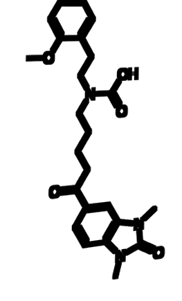 COc1ccccc1CCN(CCCCC(=O)c1ccc2c(c1)n(C)c(=O)n2C)C(=O)O